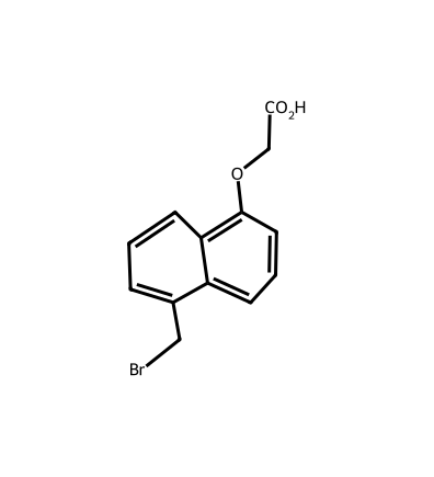 O=C(O)COc1cccc2c(CBr)cccc12